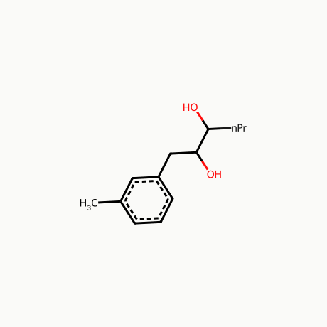 CCCC(O)C(O)Cc1cccc(C)c1